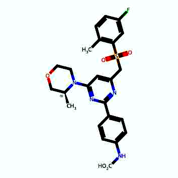 Cc1ccc(F)cc1S(=O)(=O)Cc1cc(N2CCOC[C@@H]2C)nc(-c2ccc(NC(=O)O)cc2)n1